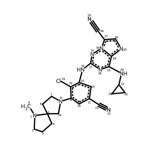 CN1CCCC12CCN(c1cc(C#N)cc(Nc3nc(NC4CC4)c4ncc(C#N)n4n3)c1Cl)C2